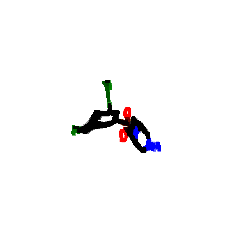 O=S(=O)(c1cc(F)cc(F)c1)N1C2CCC1CNC2